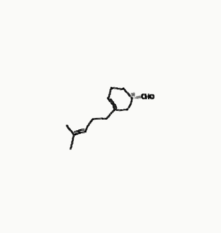 CC(C)=CCCC1=CCC[C@H](C=O)C1